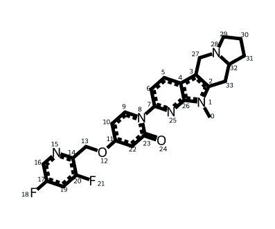 Cn1c2c(c3ccc(-n4ccc(OCc5ncc(F)cc5F)cc4=O)nc31)CN1CCCC1C2